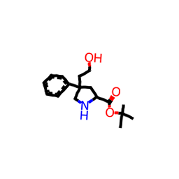 CC(C)(C)OC(=O)C1CC(CCO)(c2ccccc2)CN1